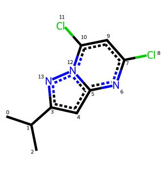 CC(C)c1cc2nc(Cl)cc(Cl)n2n1